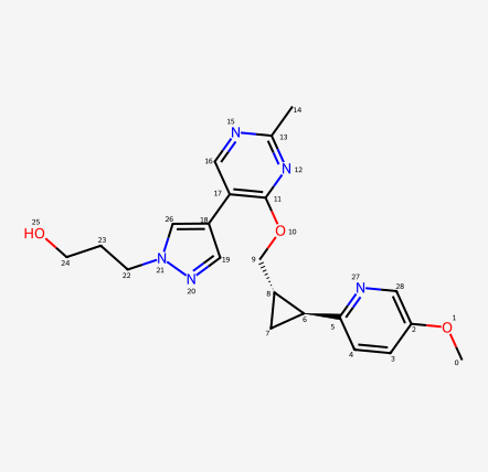 COc1ccc([C@H]2C[C@@H]2COc2nc(C)ncc2-c2cnn(CCCO)c2)nc1